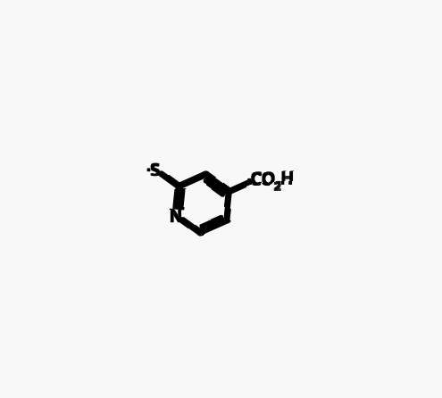 O=C(O)c1ccnc([S])c1